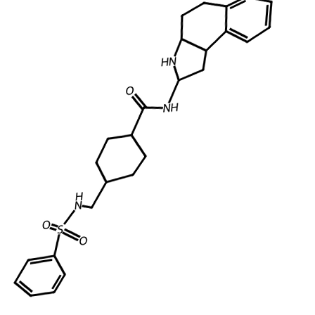 O=C(NC1CC2c3ccccc3CCC2N1)C1CCC(CNS(=O)(=O)c2ccccc2)CC1